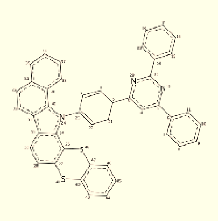 C1=CC(c2cc(-c3ccccc3)nc(-c3ccccc3)n2)CC=C1n1c2c3c(ccc2c2ccc4ccccc4c21)Sc1ccccc1S3